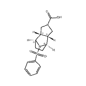 O=C(O)N1C[C@@H]2[C@H](C1)[C@H]1CC[C@@H]2N1S(=O)(=O)c1ccccc1